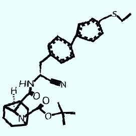 CCSc1ccc(-c2ccc(C[C@@H](C#N)NC(=O)[C@@H]3C4CCC(CC4)N3C(=O)OC(C)(C)C)cc2)cc1